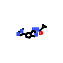 Cn1cncc1-c1ccc2cnc(NC(=O)C3CC3)cc2c1